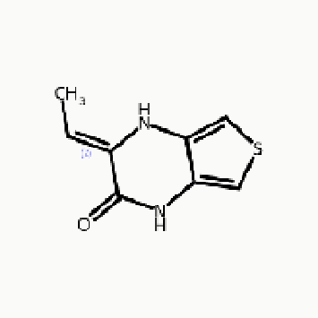 C/C=C1\Nc2cscc2NC1=O